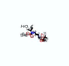 CC(CC(=O)O)N(CC/C=C/B1OC(C)(C)C(C)(C)O1)C(=O)OC(C)(C)C